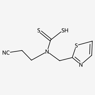 N#CCCN(Cc1nccs1)C(=S)S